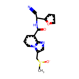 C[S+]([O-])Cc1cnc2c(C(=O)NC(C#N)c3ccco3)cccn12